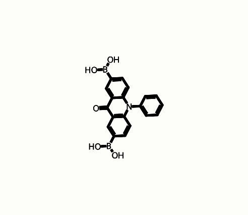 O=c1c2cc(B(O)O)ccc2n(-c2ccccc2)c2ccc(B(O)O)cc12